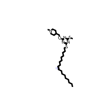 CCCCCCCC/C=C\CCCCCCCCSc1nc(OCC2CCN(C)CC2)nc(SC)n1